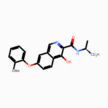 COc1ccccc1Oc1ccc2c(O)c(C(=O)N[C@@H](C)C(=O)O)ncc2c1